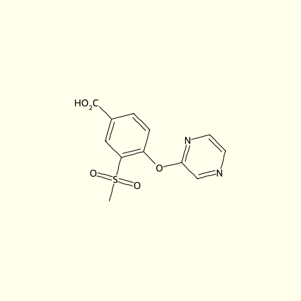 CS(=O)(=O)c1cc(C(=O)O)ccc1Oc1cnccn1